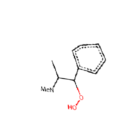 CNC(C)C(OO)c1ccccc1